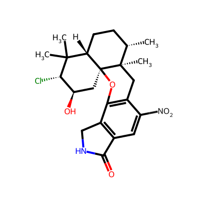 C[C@H]1CC[C@H]2C(C)(C)[C@@H](Cl)[C@H](O)C[C@]23Oc2c4c(cc([N+](=O)[O-])c2C[C@]13C)C(=O)NC4